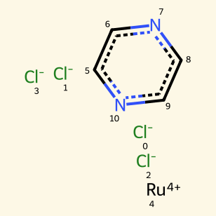 [Cl-].[Cl-].[Cl-].[Cl-].[Ru+4].c1cnccn1